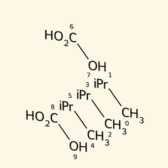 CC(C)C.CC(C)C.CC(C)C.O=C(O)O.O=C(O)O